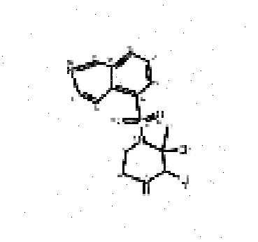 CC1(Cl)C(Cl)NCCN1S(=O)(=O)c1cccc2cnccc12